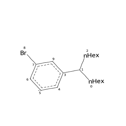 CCCCCCC(CCCCCC)c1c[c]cc(Br)c1